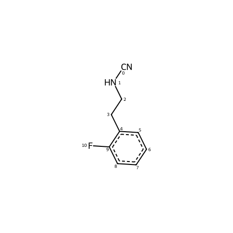 N#CNCCc1ccccc1F